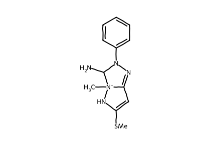 CSC1=CC2=NN(c3ccccc3)C(N)[N+]2(C)N1